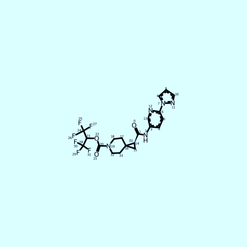 O=C(Nc1ccc(-n2cccn2)nc1)[C@H]1CC12CCN(C(=O)OC(C(F)(F)F)C(F)(F)F)CC2